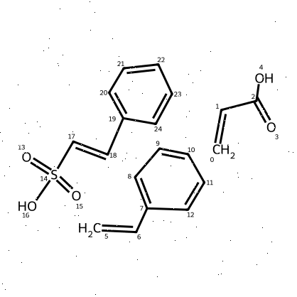 C=CC(=O)O.C=Cc1ccccc1.O=S(=O)(O)C=Cc1ccccc1